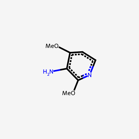 COc1ccnc(OC)c1N